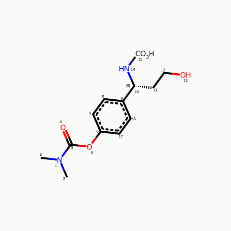 CN(C)C(=O)Oc1ccc([C@@H](CCO)NC(=O)O)cc1